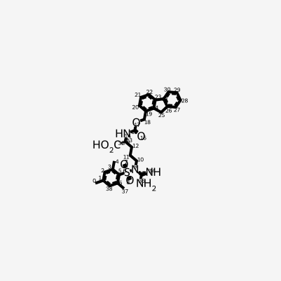 Cc1cc(C)c(S(=O)(=O)N(CCC[C@H](NC(=O)OCc2cccc3c2Cc2ccccc2-3)C(=O)O)C(=N)N)c(C)c1